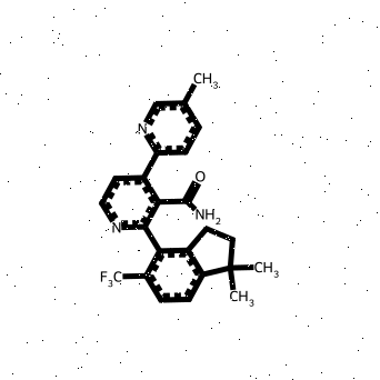 Cc1ccc(-c2ccnc(-c3c(C(F)(F)F)ccc4c3CCC4(C)C)c2C(N)=O)nc1